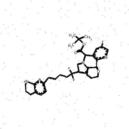 CC(C)(C)OC(=O)C(c1cc(F)cnc1[C@@H]1CCCCO1)N1CCC(C(F)(F)CCCCc2ccc3c(n2)NCCC3)C1